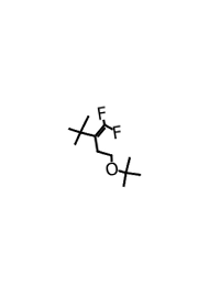 CC(C)(C)OCCC(=C(F)F)C(C)(C)C